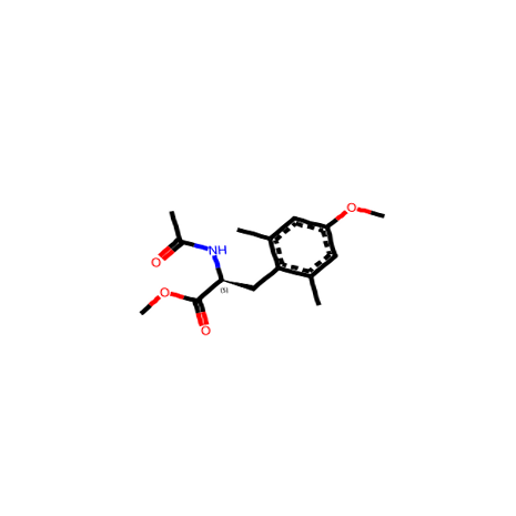 COC(=O)[C@H](Cc1c(C)cc(OC)cc1C)NC(C)=O